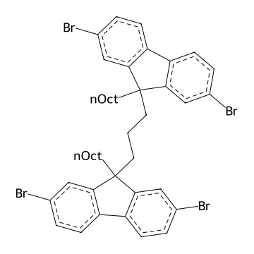 CCCCCCCCC1(CCCC2(CCCCCCCC)c3cc(Br)ccc3-c3ccc(Br)cc32)c2cc(Br)ccc2-c2ccc(Br)cc21